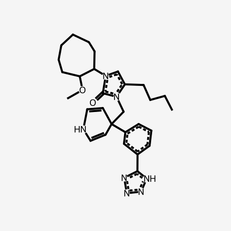 CCCCc1cn(C2CCCCCCC2OC)c(=O)n1CC1(c2cccc(-c3nnn[nH]3)c2)C=CNC=C1